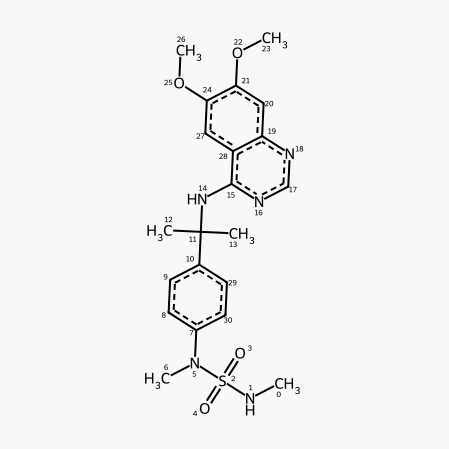 CNS(=O)(=O)N(C)c1ccc(C(C)(C)Nc2ncnc3cc(OC)c(OC)cc23)cc1